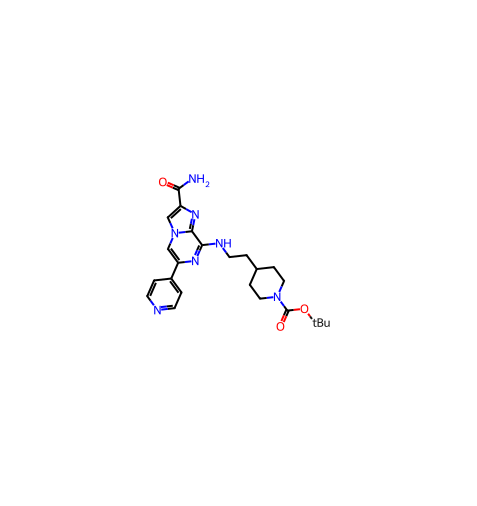 CC(C)(C)OC(=O)N1CCC(CCNc2nc(-c3ccncc3)cn3cc(C(N)=O)nc23)CC1